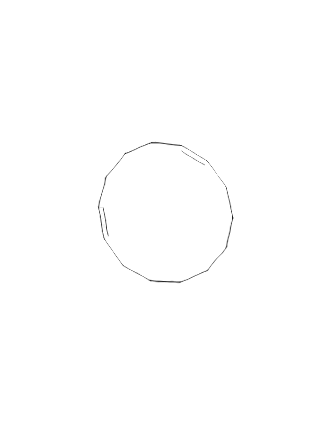 [CH]1C=CCCCCCCCC=CCC1